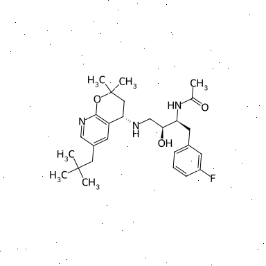 CC(=O)N[C@@H](Cc1cccc(F)c1)[C@@H](O)CN[C@H]1CC(C)(C)Oc2ncc(CC(C)(C)C)cc21